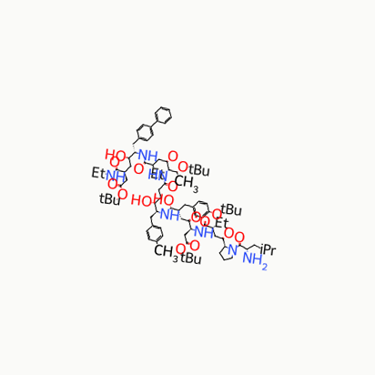 CCNC(=O)[C@H](CC(=O)OC(C)(C)C)C[C@@H](O)[C@H](Cc1ccc(-c2ccccc2)cc1)NC(=O)[C@H](CC)CC(=O)[C@@H](NC(=O)CC[C@@H](O)[C@H](Cc1ccc(C)cc1)N[C@H](O)[C@@H](CC(=O)[C@H](CC(=O)OC(C)(C)C)NC(=O)[C@H](CC)CC(=O)[C@@H]1CCCN1C(=O)[C@@H](N)CC(C)C)Cc1ccc(OC(C)(C)C)cc1)C(C)OC(C)(C)C